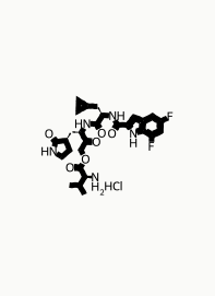 CC(C)[C@H](N)C(=O)OCC(=O)[C@H](C[C@@H]1CCNC1=O)NC(=O)[C@H](CC1CC1)NC(=O)c1cc2cc(F)cc(F)c2[nH]1.Cl